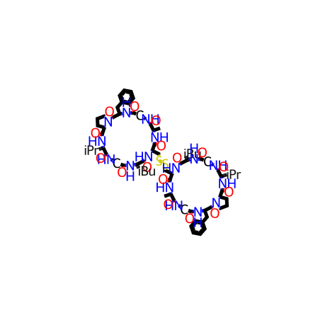 CCC(C)C1NC(=O)CNC(=O)C(C(C)C)NC(=O)C2CCCN2C(=O)C(Cc2ccccc2)NC(=O)CNC(=O)C(C)NC(=O)C(CSSCC2NC(=O)C(C(C)CC)NC(=O)CNC(=O)C(C(C)C)NC(=O)C3CCCN3C(=O)C(Cc3ccccc3)NC(=O)CNC(=O)C(C)NC2=O)NC1=O